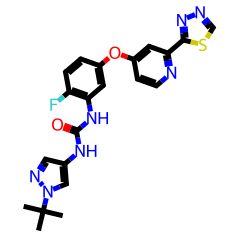 CC(C)(C)n1cc(NC(=O)Nc2cc(Oc3ccnc(-c4nncs4)c3)ccc2F)cn1